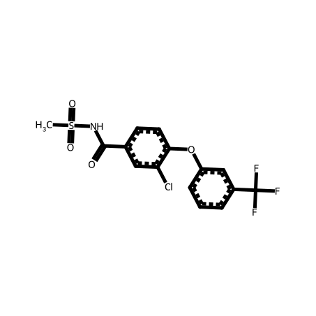 CS(=O)(=O)NC(=O)c1ccc(Oc2cccc(C(F)(F)F)c2)c(Cl)c1